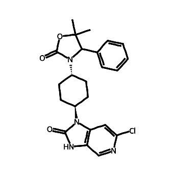 CC1(C)OC(=O)N([C@H]2CC[C@H](n3c(=O)[nH]c4cnc(Cl)cc43)CC2)C1c1ccccc1